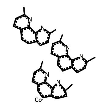 Cc1ccc2ccc3ccc(C)nc3c2n1.Cc1ccc2ccc3ccc(C)nc3c2n1.Cc1ccc2ccc3ccc(C)nc3c2n1.[Co]